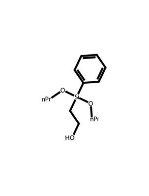 CCCO[Si](CCO)(OCCC)c1ccccc1